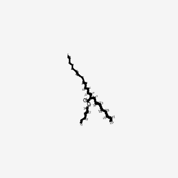 CCCCCCCCCCCCCCC(CCCCCCCC)C(=O)OCCCCCC